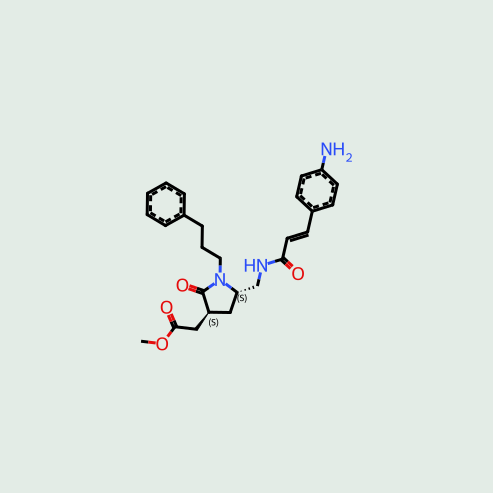 COC(=O)C[C@@H]1C[C@@H](CNC(=O)C=Cc2ccc(N)cc2)N(CCCc2ccccc2)C1=O